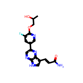 CC(O)COc1ncc(-c2cnc3[nH]cc(C=CC(N)=O)c3n2)cc1F